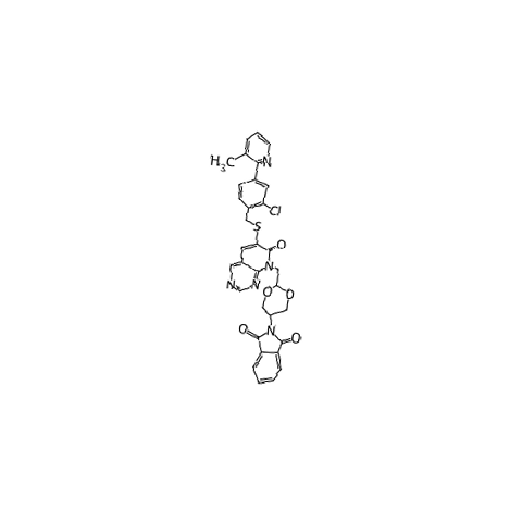 Cc1cccnc1-c1ccc(CSc2cc3cncnc3n(CC3OCC(N4C(=O)c5ccccc5C4=O)CO3)c2=O)c(Cl)c1